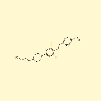 CC(C)CCCC1CCC(c2cc(F)c(CCc3ccc(C(F)(F)F)cc3)c(F)c2)CC1